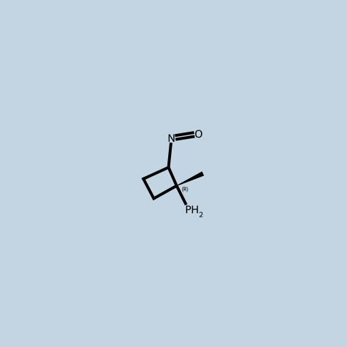 C[C@@]1(P)CCC1N=O